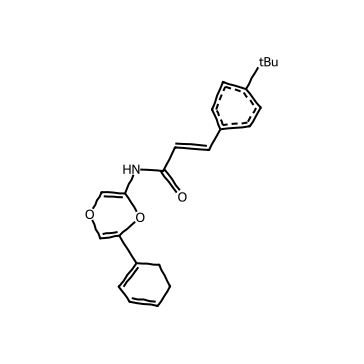 CC(C)(C)c1ccc(/C=C/C(=O)NC2=COC=C(C3=CC=CCC3)O2)cc1